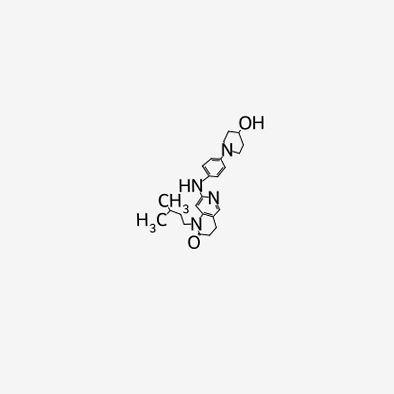 CC(C)CCN1C(=O)CCc2cnc(Nc3ccc(N4CCC(O)CC4)cc3)cc21